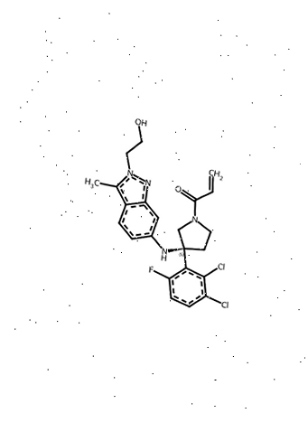 C=CC(=O)N1CC[C@](Nc2ccc3c(C)n(CCO)nc3c2)(c2c(F)ccc(Cl)c2Cl)C1